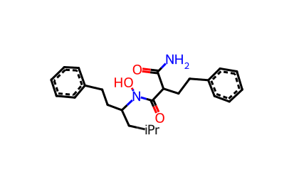 CC(C)CC(CCc1ccccc1)N(O)C(=O)C(CCc1ccccc1)C(N)=O